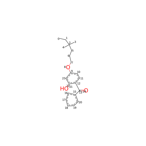 CCC(C)(C)CCCOc1ccc(C(=O)c2ccccc2)c(O)c1